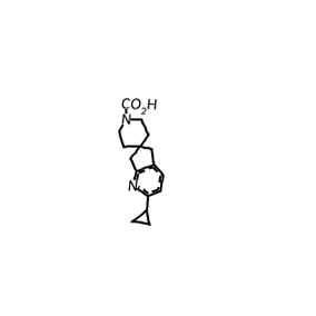 O=C(O)N1CCC2(CC1)Cc1ccc(C3CC3)nc1C2